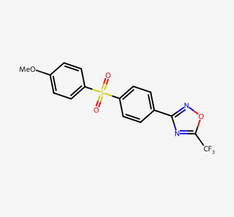 COc1ccc(S(=O)(=O)c2ccc(-c3noc(C(F)(F)F)n3)cc2)cc1